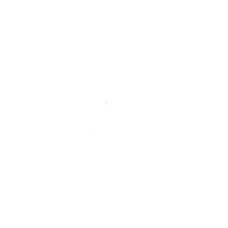 CCc1ccccc1C1(NC(C)C)CC1